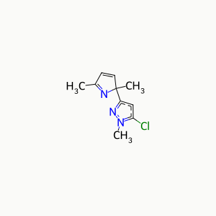 CC1=NC(C)(c2cc(Cl)n(C)n2)C=C1